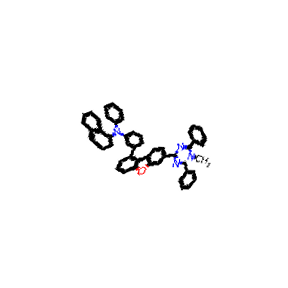 C=N/C(=N\C(=N/Cc1ccccc1)c1ccc2c(c1)oc1cccc(-c3cccc(N(c4ccccc4)c4cccc5ccccc45)c3)c12)c1ccccc1